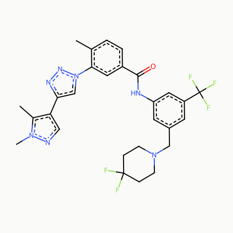 Cc1ccc(C(=O)Nc2cc(CN3CCC(F)(F)CC3)cc(C(F)(F)F)c2)cc1-n1cc(-c2cnn(C)c2C)nn1